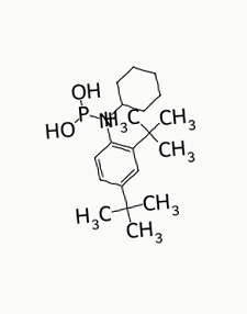 CC(C)(C)c1ccc(N(C2CCCCC2)P(O)O)c(C(C)(C)C)c1